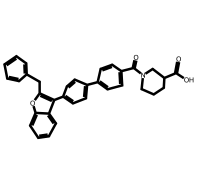 O=C(O)C1CCCN(C(=O)c2ccc(-c3ccc(-c4c(Cc5ccccc5)oc5ccccc45)cc3)cc2)C1